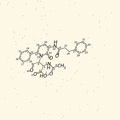 CC(=O)NC(C(=O)O)C(C=O)n1c(-c2ccccc2)ccc(NC(=O)CCc2ccccc2)c1=O